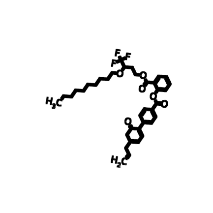 C=CCC1=CC=C(c2ccc(C(=O)Oc3ccccc3C(=O)OCCC(OCCCCCCCCCC)C(F)(F)F)cc2)C(=O)C1